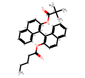 CCCCC(=O)Oc1ccc2ccccc2c1-c1c(OC(=O)C(C)(C)C)ccc2ccccc12